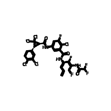 C=C/C=C(NC(=O)c1cc(NC(=O)[C@H]2[C@H](c3ccc(Cl)c(Cl)c3)C2(Cl)Cl)cc(F)c1Cl)\C(F)=C(/CF)NC(=O)C(F)F